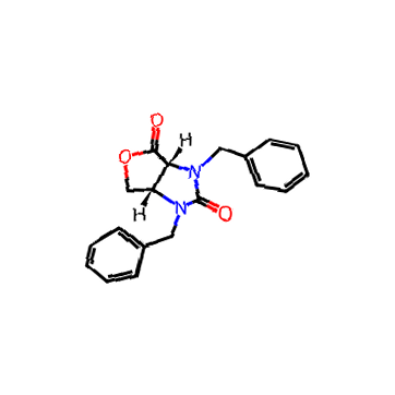 O=C1OC[C@@H]2[C@H]1N(Cc1ccccc1)C(=O)N2Cc1ccccc1